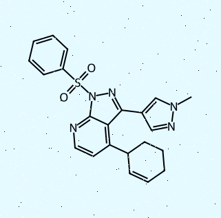 Cn1cc(-c2nn(S(=O)(=O)c3ccccc3)c3nccc(C4C=CCCC4)c23)cn1